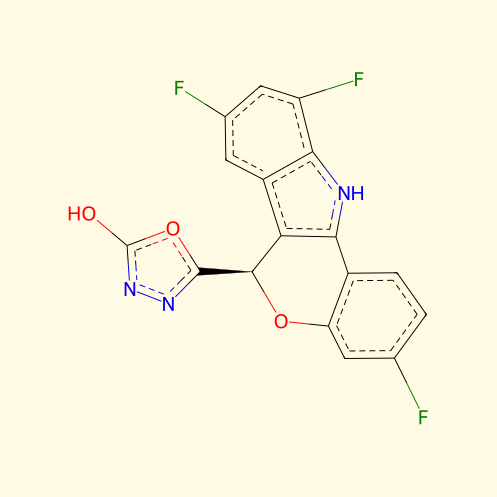 Oc1nnc([C@@H]2Oc3cc(F)ccc3-c3[nH]c4c(F)cc(F)cc4c32)o1